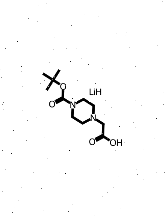 CC(C)(C)OC(=O)N1CCN(CC(=O)O)CC1.[LiH]